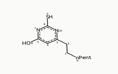 CCCCCCCc1cc(O)nc(S)n1